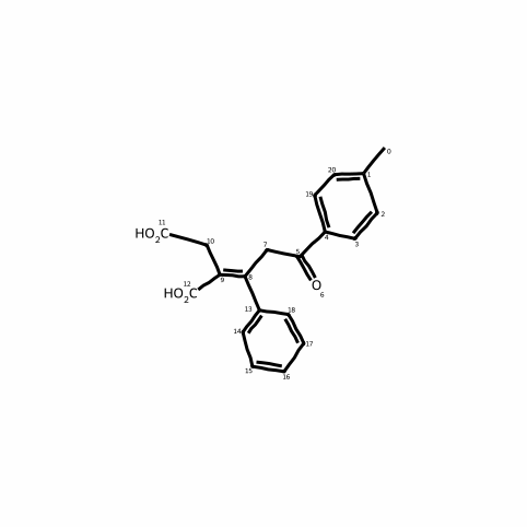 Cc1ccc(C(=O)CC(=C(CC(=O)O)C(=O)O)c2ccccc2)cc1